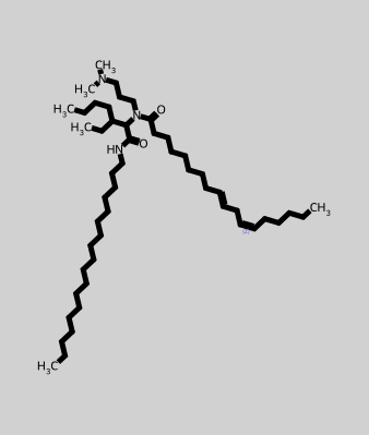 CCCCC/C=C\CC=CCCCCCCCC(=O)N(CCCN(C)C)C(C(=O)NCCCCCCCCCCCCCCCCCC)C(CC)CCCC